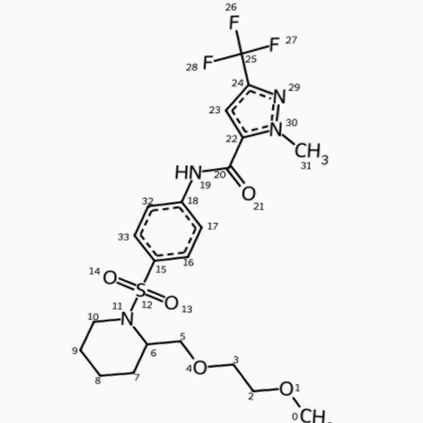 COCCOCC1CCCCN1S(=O)(=O)c1ccc(NC(=O)c2cc(C(F)(F)F)nn2C)cc1